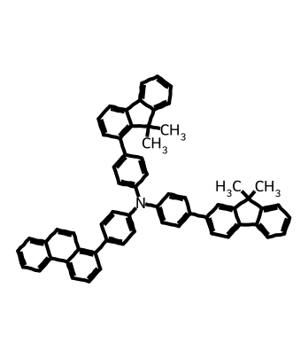 CC1(C)c2ccccc2-c2ccc(-c3ccc(N(c4ccc(-c5cccc6c5C(C)(C)c5ccccc5-6)cc4)c4ccc(-c5cccc6c5ccc5ccccc56)cc4)cc3)cc21